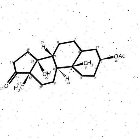 CC(=O)O[C@H]1CC[C@@]2(C)C(CC[C@@H]3[C@@H]2CC[C@]2(C)C(=O)CC[C@]32O)C1